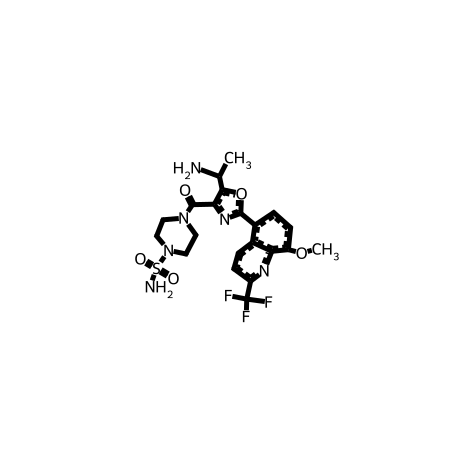 COc1ccc(-c2nc(C(=O)N3CCN(S(N)(=O)=O)CC3)c(C(C)N)o2)c2ccc(C(F)(F)F)nc12